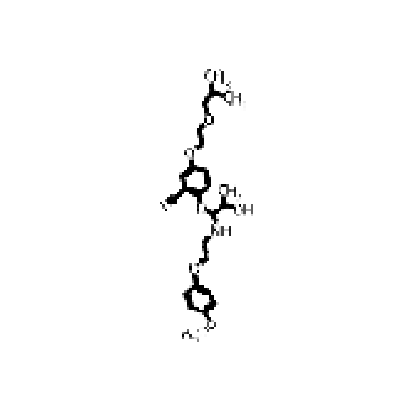 COc1ccc(OCCNC(Oc2ccc(OCCOCC(C)C)cc2C#N)C(C)O)cc1